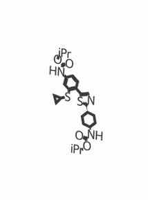 CC(C)OC(=O)Nc1ccc(-c2cnc([C@H]3CC[C@H](NC(=O)OC(C)C)CC3)s2)c(SC2CC2)c1